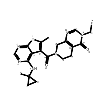 Cc1oc2ncnc(NC3(C)CC3)c2c1C(=O)N1CCc2c(ncn(CF)c2=O)C1